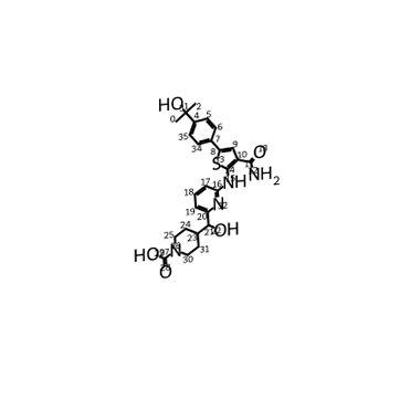 CC(C)(O)c1ccc(-c2cc(C(N)=O)c(Nc3cccc(C(O)C4CCN(C(=O)O)CC4)n3)s2)cc1